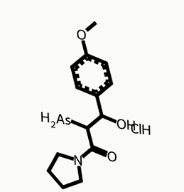 COc1ccc(C(O)C([AsH2])C(=O)N2CCCC2)cc1.Cl